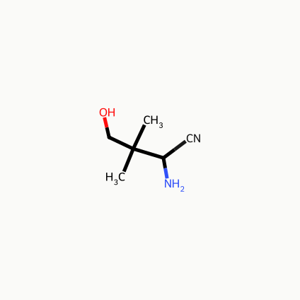 CC(C)(CO)C(N)C#N